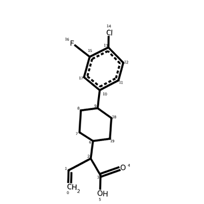 C=CC(C(=O)O)C1CCC(c2ccc(Cl)c(F)c2)CC1